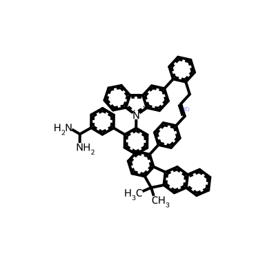 CC1(C)c2cc3ccccc3cc2-c2c(-c3ccc(/C=C/Cc4ccccc4-c4ccc5c(c4)c4ccccc4n5-c4ccccc4-c4cccc(C(N)N)c4)cc3)cccc21